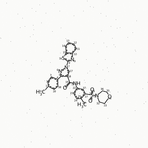 Cc1ccc(-c2nn(-c3nc4ccccc4s3)cc2C(=O)Nc2ccc(C)c(S(=O)(=O)N3CCOCC3)c2)cc1